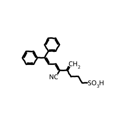 C=C(CCCS(=O)(=O)O)/C(C#N)=C/C=C(c1ccccc1)c1ccccc1